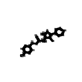 Cc1c(-c2ccncc2)n[nH]c1NC(=O)COc1ccc(Cl)cc1